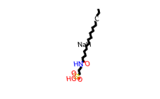 CCCCCCCCCCCCCCCCCC(=O)NCCCS(=O)(=O)O.[NaH]